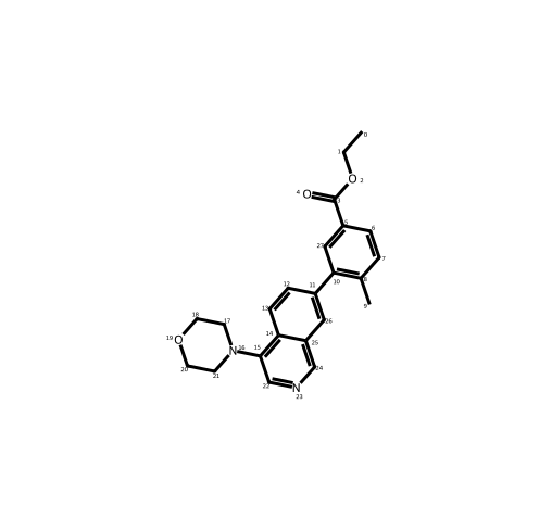 CCOC(=O)c1ccc(C)c(-c2ccc3c(N4CCOCC4)cncc3c2)c1